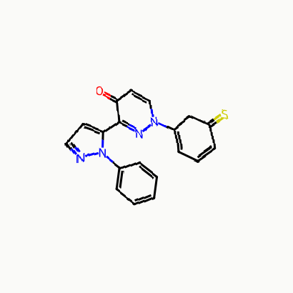 O=c1ccn(C2=CC=CC(=S)C2)nc1-c1ccnn1-c1ccccc1